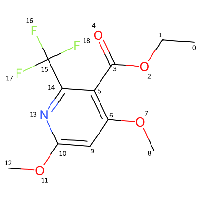 CCOC(=O)c1c(OC)cc(OC)nc1C(F)(F)F